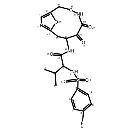 CC(C)C(NS(=O)(=O)c1ccc(F)cc1)C(=O)NC1Cc2ncc(o2)CCNC(=O)C1=O